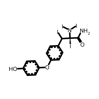 NC(=O)[C@](I)(C(I)c1ccc(Oc2ccc(O)cc2)cc1)N(I)I